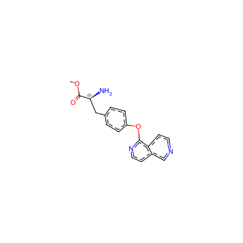 COC(=O)[C@@H](N)Cc1ccc(Oc2nccc3cnccc23)cc1